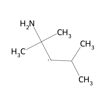 CC(C)[CH]C(C)(C)N